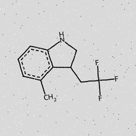 [CH2]c1cccc2c1C(CC(F)(F)F)CN2